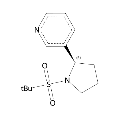 CC(C)(C)S(=O)(=O)N1CCC[C@@H]1c1cccnc1